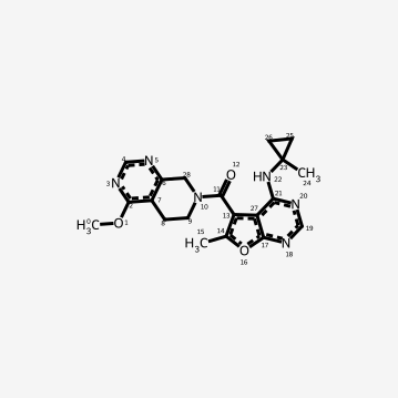 COc1ncnc2c1CCN(C(=O)c1c(C)oc3ncnc(NC4(C)CC4)c13)C2